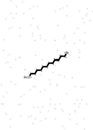 CC(=O)OCCCCCCCC/C=C/CCBr